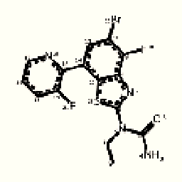 CCN(C(N)=O)c1nc2c(F)c(Br)cc(-c3ncccc3F)c2s1